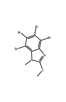 CSc1nc2c(Br)c(Br)c(Br)c(Br)c2n1C